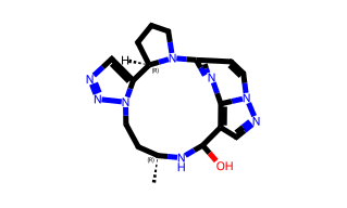 C[C@@H]1CCn2nncc2[C@H]2CCCN2c2ccn3ncc(c3n2)C(O)N1